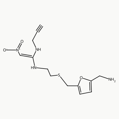 C#CCNC(=C[N+](=O)[O-])NCCSCc1ccc(CN)o1